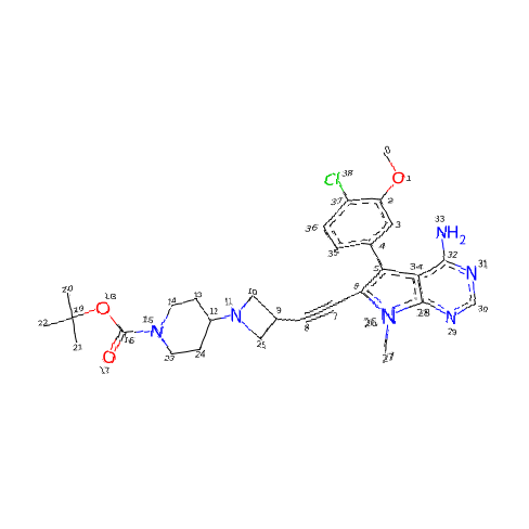 COc1cc(-c2c(C#CC3CN(C4CCN(C(=O)OC(C)(C)C)CC4)C3)n(C)c3ncnc(N)c23)ccc1Cl